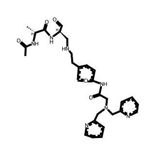 CC(=O)N[C@H](C)C(=O)N[C@@H](C=O)CNCCc1ccc(NC(=O)CN(Cc2ccccn2)Cc2ccccn2)cc1